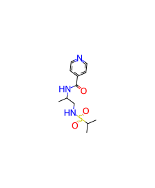 CC(CNS(=O)(=O)C(C)C)NC(=O)c1ccncc1